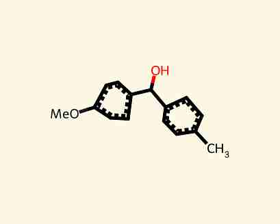 COc1ccc(C(O)c2ccc(C)cc2)cc1